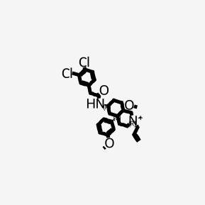 C=CC[N@@+]1(C)CC[C@@]2(c3cccc(OC)c3)C[C@H](NC(=O)Cc3ccc(Cl)c(Cl)c3)CCC2(OC)C1